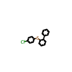 Clc1ccc(Sc2ccccc2-c2ccccc2)cc1